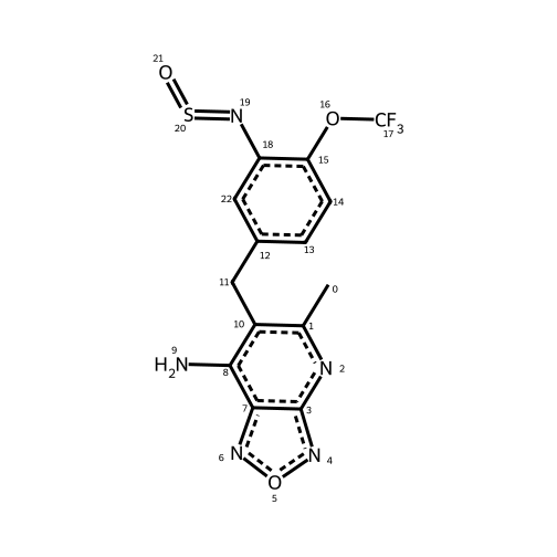 Cc1nc2nonc2c(N)c1Cc1ccc(OC(F)(F)F)c(N=S=O)c1